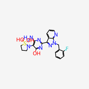 Nc1nc(-c2nn(Cc3ccccc3F)c3ncccc23)nc(O)c1N1CCCS1(O)O